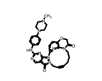 CN1CCN(c2ccc(Nc3ncc4c(=O)n5n(c4n3)-c3ccc4c(n3)N(CCCC#CC5)C(=O)CO4)cc2)CC1